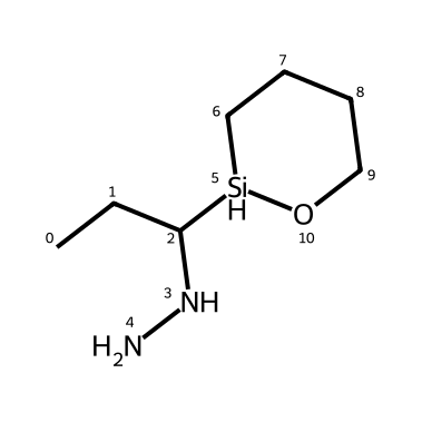 CCC(NN)[SiH]1CCCCO1